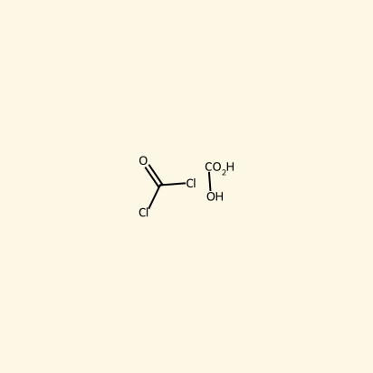 O=C(Cl)Cl.O=C(O)O